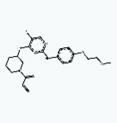 C=CC(=O)N1CCCC(Nc2nc(Nc3ccc(OCCOC)cc3)ncc2F)C1